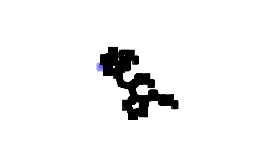 C=C(CN(/N=N\N)OC)c1nnnn1OC